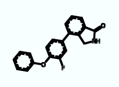 O=C1NCc2c1cccc2-c1ccc(Oc2ccccc2)c(F)c1